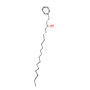 CCCCCCCCCCCCCCCCC(O)CCc1ccccc1